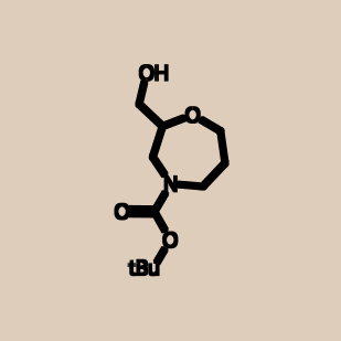 CC(C)(C)OC(=O)N1CCCOC(CO)C1